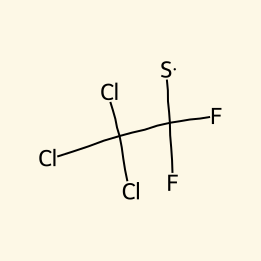 FC(F)([S])C(Cl)(Cl)Cl